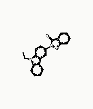 CCn1c2ccccc2c2cc(-n3[se]c4ccccc4c3=O)ccc21